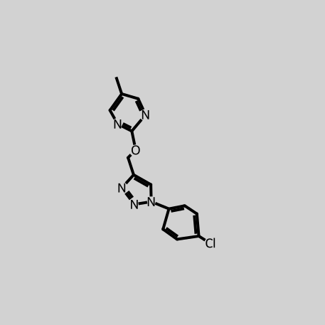 Cc1cnc(OCc2cn(-c3ccc(Cl)cc3)nn2)nc1